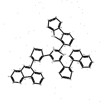 c1cc(-c2nc(-c3ccccc3-c3cccc4ccccc34)nc(-c3cccc4c3sc3ccccc34)n2)cc(-c2cc3ccccc3c3ccccc23)c1